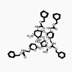 N[C@@H]1C[C@H](NC(=O)OCc2ccccc2)[C@@H](O[C@H]2O[C@H](CNC(=O)OCc3ccccc3)C=C[C@H]2NC(=O)OCc2ccccc2)[C@H](O[C@@H]2O[C@H](CO)[C@@H](O[C@@H]3CC=C[C@H](CNC(=O)OCc4ccccc4)O3)[C@H]2O)[C@H]1O